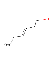 O=CCC=CCCO